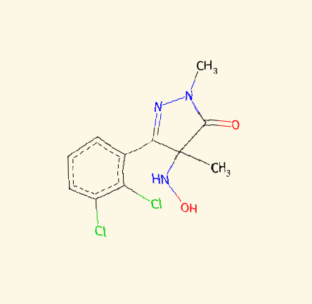 CN1N=C(c2cccc(Cl)c2Cl)C(C)(NO)C1=O